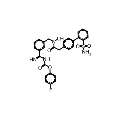 CN(Cc1cccc(C(=N)NC(=O)Oc2ccc(F)cc2)c1)C(=O)Cc1ccc(-c2ccccc2S(N)(=O)=O)cc1